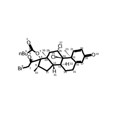 CCCCC(=O)O[C@@]1(C(=O)CBr)[C@H](C)C[C@H]2[C@@H]3CCC4=CC(=O)C=C[C@]4(C)[C@@]3(Cl)[C@@H](Cl)C[C@@]21C